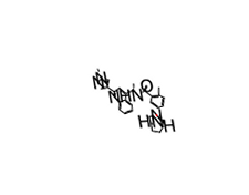 Cc1ccc(N2C[C@H]3CC[C@@H](C2)N3C)cc1C(=O)N[C@H](C)c1cc(-c2cnn(C)c2)nc2ccccc12